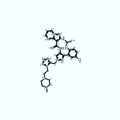 CN1CCN(CCn2nnnc2Cn2cc(NC(=O)c3cnn4cccnc34)c(-c3cc(Cl)ccc3OC(F)F)n2)CC1